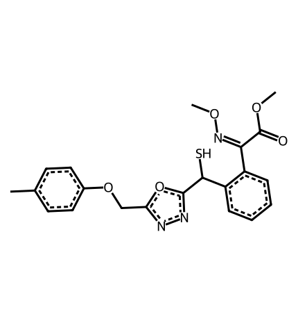 CON=C(C(=O)OC)c1ccccc1C(S)c1nnc(COc2ccc(C)cc2)o1